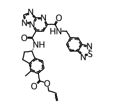 C=CCOC(=O)c1ccc2c(c1C)CC[C@@H]2NC(=O)c1cc(C(=O)NCc2ccc3nsnc3c2)nc2ncnn12